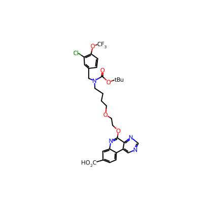 CC(C)(C)OC(=O)N(CCCCOCCOc1nc2cc(C(=O)O)ccc2c2cncnc12)Cc1ccc(OC(F)(F)F)c(Cl)c1